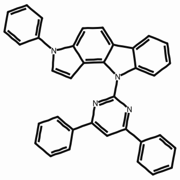 c1ccc(-c2cc(-c3ccccc3)nc(-n3c4ccccc4c4ccc5c(ccn5-c5ccccc5)c43)n2)cc1